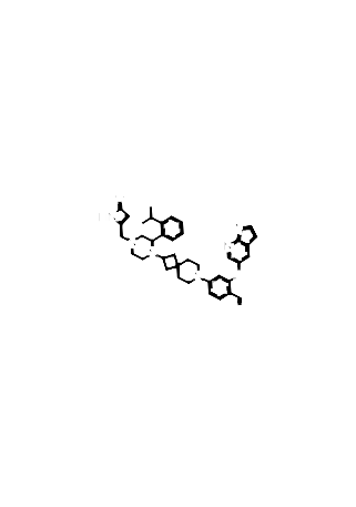 CC(C)c1ccccc1C1CN(CC2=CC(=O)N2)CCN1C1CC2(CCN(c3ccc(C=O)c(Oc4cnc5[nH]ccc5c4)c3)CC2)C1